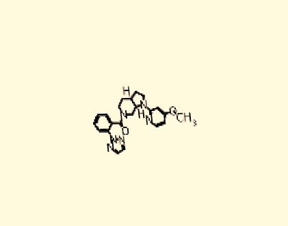 COc1ccnc(N2CC[C@@H]3CCN(C(=O)c4ccccc4-n4nccn4)C[C@@H]32)c1